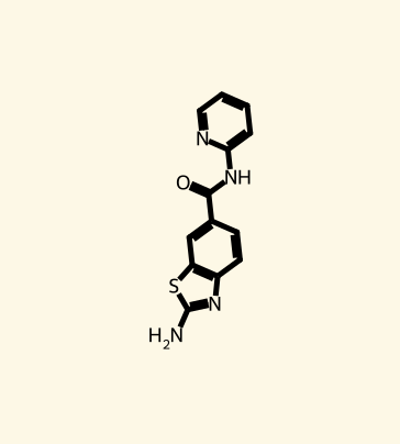 Nc1nc2ccc(C(=O)Nc3ccccn3)cc2s1